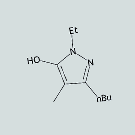 CCCCc1nn(CC)c(O)c1C